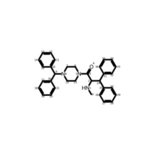 CNC(C(=O)N1CCN(C(c2ccccc2)c2ccccc2)CC1)C(c1ccccc1)c1ccccc1